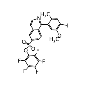 COc1cc(-c2nccc3cc(S(=O)(=O)Oc4c(F)c(F)c(F)c(F)c4F)ccc23)c(C)cc1I